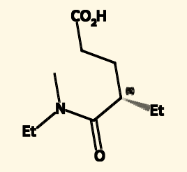 CC[C@@H](CCC(=O)O)C(=O)N(C)CC